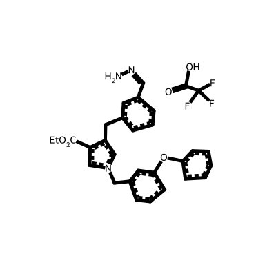 CCOC(=O)c1cn(Cc2cccc(Oc3ccccc3)c2)cc1Cc1cccc(/C=N\N)c1.O=C(O)C(F)(F)F